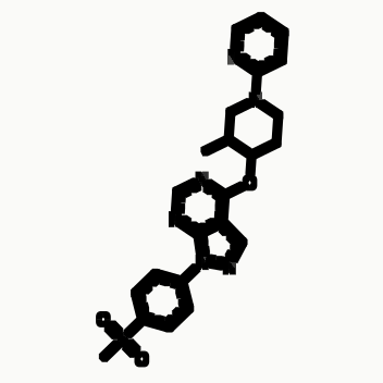 CC1CN(c2ccccn2)CCC1Oc1ncnc2c1cnn2-c1ccc(S(C)(=O)=O)cc1